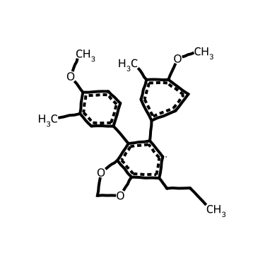 CCCc1[c]c(-c2ccc(OC)c(C)c2)c(-c2ccc(OC)c(C)c2)c2c1OCO2